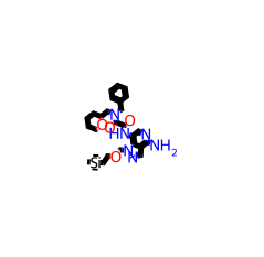 C[Si](C)(C)CCOCn1ncc2c(N)ncc(NC(=O)C(=O)N(Cc3ccccc3)CC3CCCCO3)c21